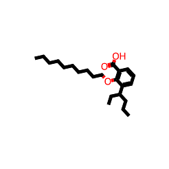 CCCCCCCCCCOc1c(C(=O)O)cccc1C(CC)CCC